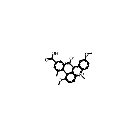 COc1ccc2c(c1)c(C(=O)[O-])c1c(-c3c(C)cc(C(=O)O)cc3C)c(OC)ccc1[n+]2C